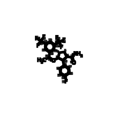 C[C@H](OC1CCC(C(N)=O)C1c1ccc(F)cc1)c1cc(C(F)(F)F)cc(C(F)(F)F)c1